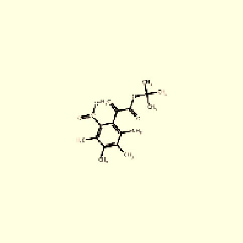 C=C(C(=O)OC(C)(C)C)c1c(C)c(C)c(C)c(C)c1[N+](=O)[O-]